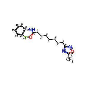 O=C(CCCCCCCc1noc(C(F)(F)F)n1)Nc1ccccc1F